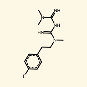 CN(C)C(=N)NC(=N)N(C)CCc1ccc(F)cc1